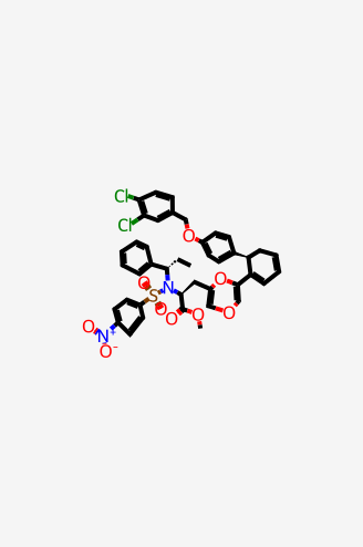 CC[C@@H](c1ccccc1)N([C@@H](CC1=COC=C(C2=CC=CC[C@@H]2c2ccc(OCc3ccc(Cl)c(Cl)c3)cc2)O1)C(=O)OC)S(=O)(=O)c1ccc([N+](=O)[O-])cc1